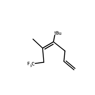 C=CC/C(=C(/C)CC(F)(F)F)C(C)(C)C